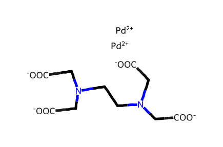 O=C([O-])CN(CCN(CC(=O)[O-])CC(=O)[O-])CC(=O)[O-].[Pd+2].[Pd+2]